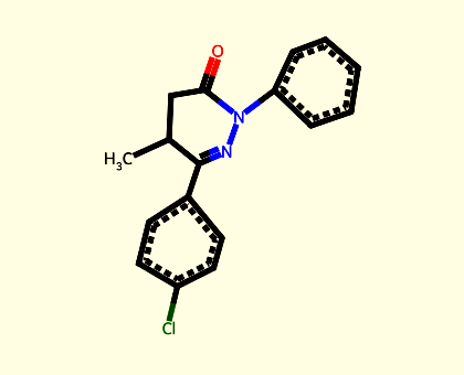 CC1CC(=O)N(c2ccccc2)N=C1c1ccc(Cl)cc1